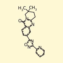 CC1(C)CCc2nc3cc(-c4nc(-c5ccccn5)no4)ccc3c(=O)n2C1